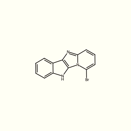 Brc1cccc2nc3c4ccccc4[nH]c3n12